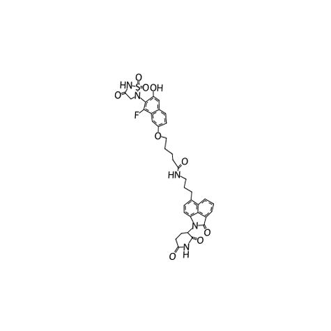 O=C(CCCCOc1ccc2cc(O)c(N3CC(=O)NS3(=O)=O)c(F)c2c1)NCCCc1ccc2c3c(cccc13)C(=O)N2C1CCC(=O)NC1=O